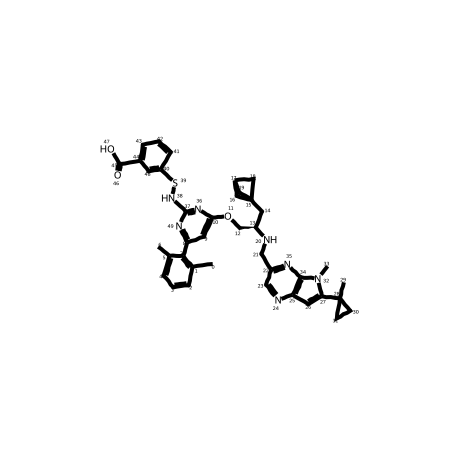 Cc1cccc(C)c1-c1cc(OC[C@@H](CC23CC(C2)C3)NCc2cnc3cc(C4(C)CC4)n(C)c3n2)nc(NSc2cccc(C(=O)O)c2)n1